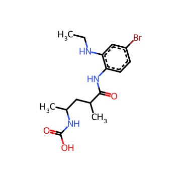 CCNc1cc(Br)ccc1NC(=O)C(C)CC(C)NC(=O)O